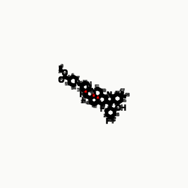 CCOC(=O)C1CCN(c2cnc(N3CCC(c4nc5c(c(C6CCC(F)(F)CC6)c4[C@@H](F)c4ccc(C(F)(F)F)cc4)[C@@H](O)CC(C)(C)C5)CC3)nc2)CC1